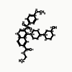 CCOC(=O)c1ccc2ncc(S(=O)(=O)c3ccc(OC)cc3)c(N3CCC(N4CCCC(O)C4)CC3)c2c1